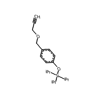 C#CCOCc1ccc(O[Si](C(C)C)(C(C)C)C(C)C)cc1